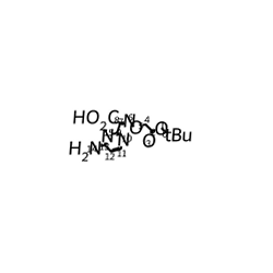 CC(C)(C)OC(=O)CO/N=C(/C(=O)O)c1nccc(N)n1